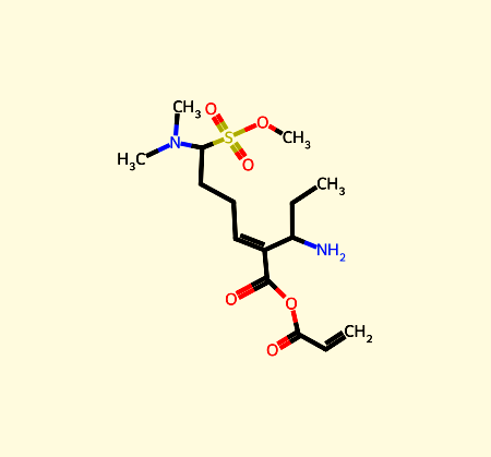 C=CC(=O)OC(=O)C(=CCCC(N(C)C)S(=O)(=O)OC)C(N)CC